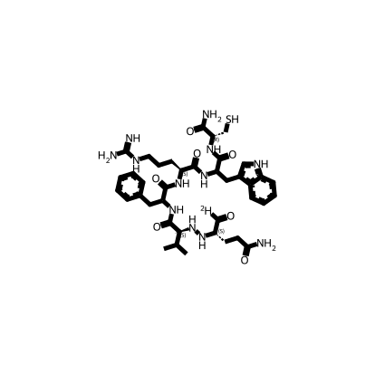 [2H]C(=O)[C@H](CCC(N)=O)NN[C@H](C(=O)NC(Cc1ccccc1)C(=O)N[C@@H](CCCNC(=N)N)C(=O)NC(Cc1c[nH]c2ccccc12)C(=O)N[C@@H](CS)C(N)=O)C(C)C